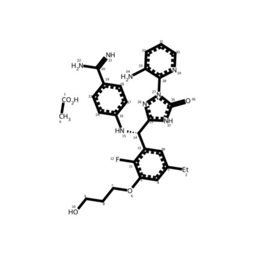 CC(=O)O.CCc1cc(OCCCO)c(F)c([C@H](Nc2ccc(C(=N)N)cc2)c2nn(-c3ncccc3N)c(=O)[nH]2)c1